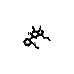 CCCc1cn(C)c2c(=O)[nH]c(-c3ccccc3OCC)nc12